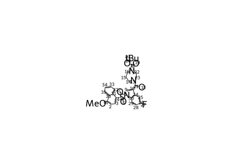 COc1ccc(S(=O)(=O)n2cc(C(=O)N3CCCN(C(=O)OC(C)(C)C)CC3)c3cc(F)ccc32)c2ccccc12